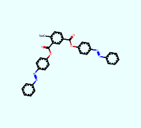 COc1ccc(C(=O)Oc2ccc(/N=N/c3ccccc3)cc2)cc1C(=O)Oc1ccc(/N=N/c2ccccc2)cc1